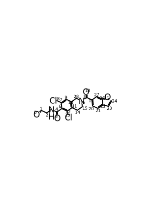 O=CCNC(=O)c1c(Cl)cc2c(c1Cl)CCN(C(=O)c1ccc3ccoc3c1)C2